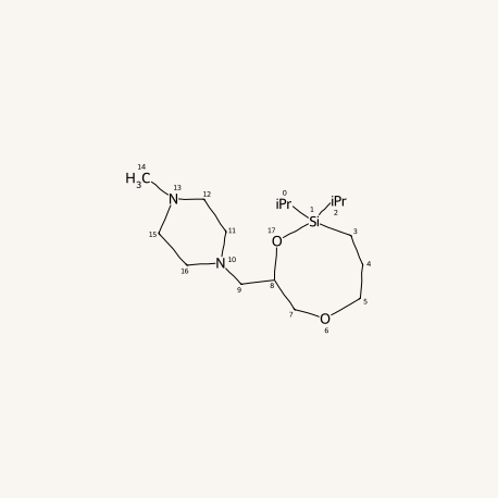 CC(C)[Si]1(C(C)C)CCCOCC(CN2CCN(C)CC2)O1